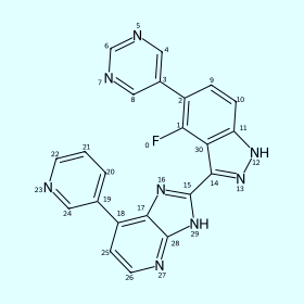 Fc1c(-c2cncnc2)ccc2[nH]nc(-c3nc4c(-c5cccnc5)ccnc4[nH]3)c12